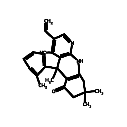 C=Cc1cnc2c(c1C#N)C(C)(c1ccccc1C)C1=C(CC(C)(C)CC1=O)N2